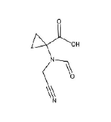 N#CCN(C=O)C1(C(=O)O)CC1